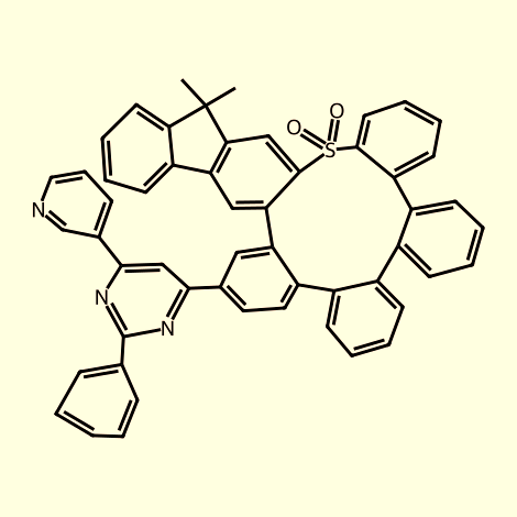 CC1(C)c2ccccc2-c2cc3c(cc21)S(=O)(=O)c1ccccc1-c1ccccc1-c1ccccc1-c1ccc(-c2cc(-c4cccnc4)nc(-c4ccccc4)n2)cc1-3